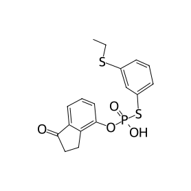 CCSc1cccc(SP(=O)(O)Oc2cccc3c2CCC3=O)c1